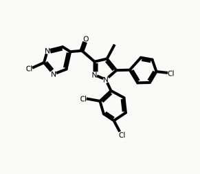 Cc1c(C(=O)c2cnc(Cl)nc2)nn(-c2ccc(Cl)cc2Cl)c1-c1ccc(Cl)cc1